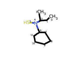 CCC(C)N(S)C1CCCCC1